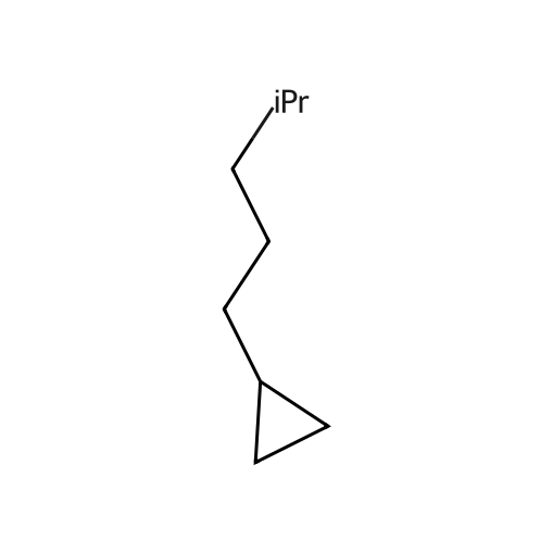 CC(C)CCCC1CC1